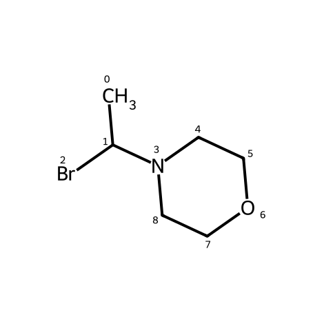 CC(Br)N1CCOCC1